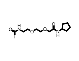 O=C(I)NCCOCCOCC(=O)NC1CCCC1